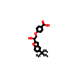 CC(C)(C)c1ccc2oc(C(O)COc3ccc(C(=O)O)cc3)cc2c1